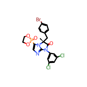 C[C@@]1(Cc2ccc(Br)cc2)C(=O)N(c2cc(Cl)cc(Cl)c2)c2ncc(P3(=O)OCCO3)n21